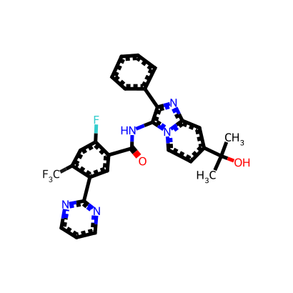 CC(C)(O)c1ccn2c(NC(=O)c3cc(-c4ncccn4)c(C(F)(F)F)cc3F)c(-c3ccccc3)nc2c1